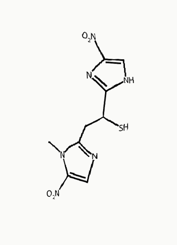 Cn1c([N+](=O)[O-])cnc1CC(S)c1nc([N+](=O)[O-])c[nH]1